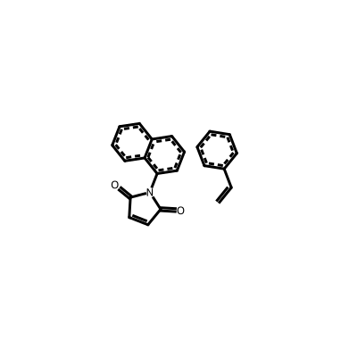 C=Cc1ccccc1.O=C1C=CC(=O)N1c1cccc2ccccc12